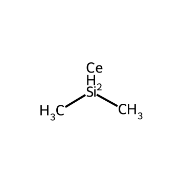 C[SiH2]C.[Ce]